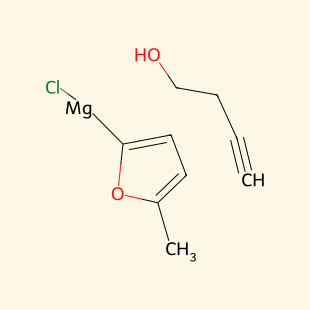 C#CCCO.Cc1cc[c]([Mg][Cl])o1